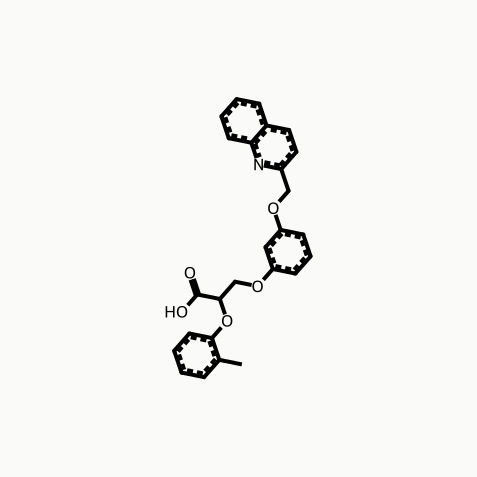 Cc1ccccc1OC(COc1cccc(OCc2ccc3ccccc3n2)c1)C(=O)O